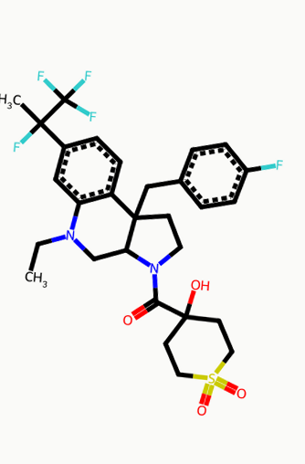 CCN1CC2N(C(=O)C3(O)CCS(=O)(=O)CC3)CCC2(Cc2ccc(F)cc2)c2ccc(C(C)(F)C(F)(F)F)cc21